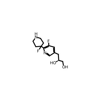 OC[C@@H](O)Cc1cnc(C2(F)CCNCC2)c(F)c1